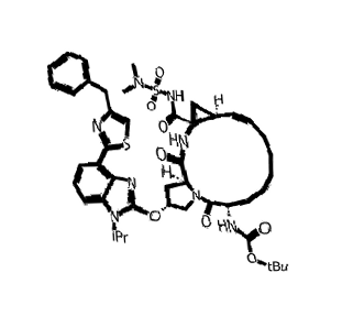 CC(C)n1c(O[C@@H]2C[C@H]3C(=O)N[C@]4(C(=O)NS(=O)(=O)N(C)C)C[C@H]4/C=C\CCCCC[C@H](NC(=O)OC(C)(C)C)C(=O)N3C2)nc2c(-c3nc(Cc4ccccc4)cs3)cccc21